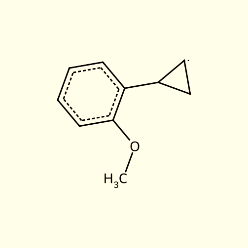 COc1ccccc1C1[CH]C1